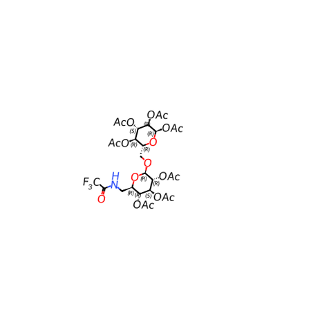 CC(=O)O[C@H]1O[C@H](CO[C@@H]2O[C@H](CNC(=O)C(F)(F)F)[C@@H](OC(C)=O)[C@H](OC(C)=O)[C@H]2OC(C)=O)[C@@H](OC(C)=O)[C@H](OC(C)=O)[C@H]1OC(C)=O